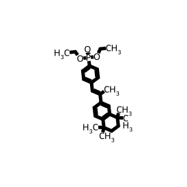 CCOP(=O)(OCC)c1ccc(C=C(C)c2ccc3c(c2)C(C)(C)CCC3(C)C)cc1